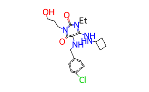 CCn1c(NNC2CCC2)c(NCc2ccc(Cl)cc2)c(=O)n(CCCO)c1=O